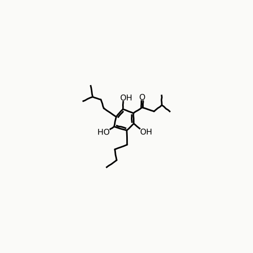 CCCCc1c(O)c(CCC(C)C)c(O)c(C(=O)CC(C)C)c1O